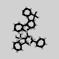 CC1(C)c2ccccc2-c2c1ccc1c2c2ccccc2n1-c1nc(-c2ccccc2)nc2c1[Si](C)(C)c1ccccc1-2